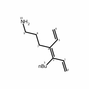 C=C/C(CCCC)=C(\C=C)CCCN